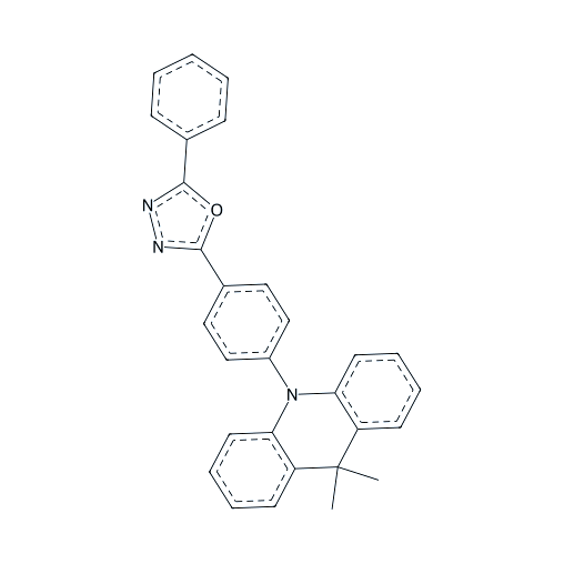 CC1(C)c2ccccc2N(c2ccc(-c3nnc(-c4ccccc4)o3)cc2)c2ccccc21